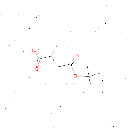 CC(C)(C)OC(=O)C[C@@H](Br)C(=O)O